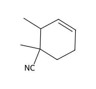 CC1C=CCCC1(C)C#N